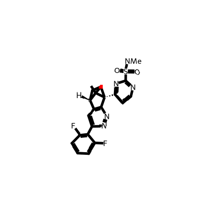 CNS(=O)(=O)c1nccc([C@]23CC[C@@H](c4cc(-c5c(F)cccc5F)nnc42)C3(C)C)n1